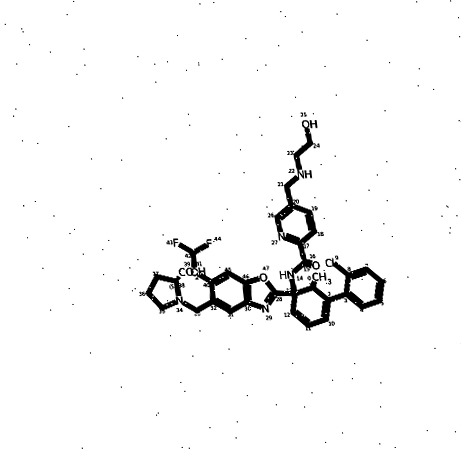 CC1C(c2ccccc2Cl)=CC=CC1(NC(=O)c1ccc(CNCCO)cn1)c1nc2cc(CN3CCC[C@H]3C(=O)O)c(OC(F)F)cc2o1